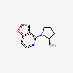 CO[C@@H]1CCCN1c1nccc2occc12